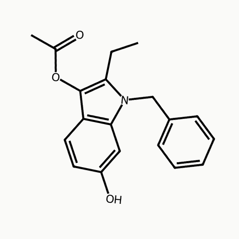 CCc1c(OC(C)=O)c2ccc(O)cc2n1Cc1ccccc1